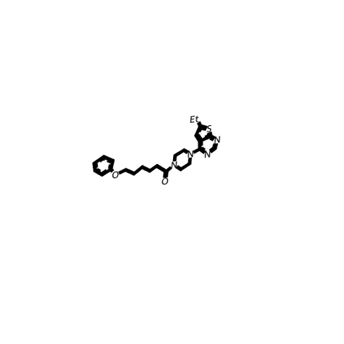 CCc1cc2c(N3CCN(C(=O)CCCCCOc4ccccc4)CC3)ncnc2s1